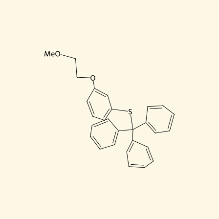 COCCOc1cccc(SC(c2ccccc2)(c2ccccc2)c2ccccc2)c1